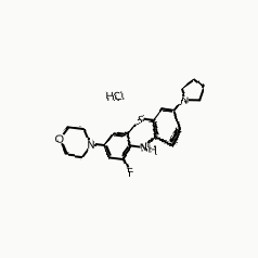 Cl.Fc1cc(N2CCOCC2)cc2c1Nc1ccc(N3CCCC3)cc1S2